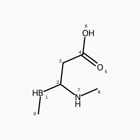 CBC(CC(=O)O)NC